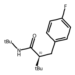 CC(C)(C)NC(=O)[C@@H](Cc1ccc(F)cc1)C(C)(C)C